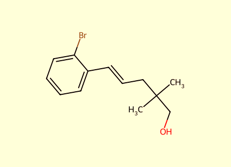 CC(C)(CO)CC=Cc1ccccc1Br